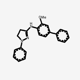 COc1cc(-c2ccccc2)ccc1NC1=NN(c2ccccc2)CC1